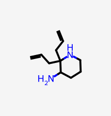 C=CCC1(CC=C)NCCCC1N